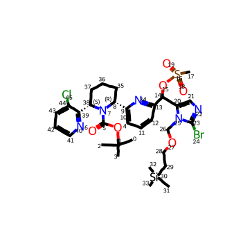 CC(C)(C)OC(=O)N1[C@@H](c2cccc(C(OS(C)(=O)=O)c3cnc(Br)n3COCC[Si](C)(C)C)n2)CCC[C@H]1c1ncccc1Cl